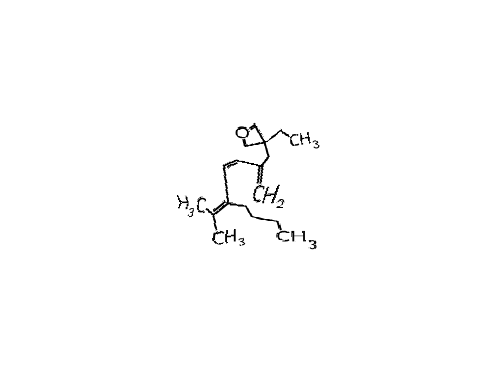 C=C(/C=C\C(CCCC)=C(C)C)CC1(CC)COC1